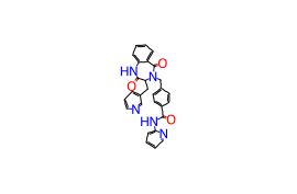 O=C(Nc1ccccn1)c1ccc(CN2C(=O)c3ccccc3NC(=O)C2Cc2cccnc2)cc1